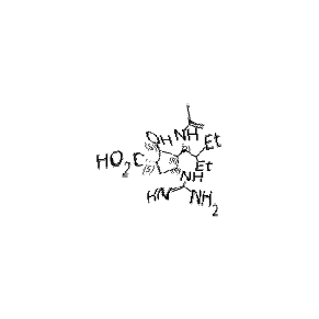 C=C(C)N[C@H](C(CC)CC)[C@@H]1[C@H](O)[C@@H](C(=O)O)C[C@H]1NC(=N)N